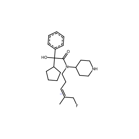 C/C(=C/CCN(C(=O)C(O)(c1ccccc1)C1CCCC1)C1CCNCC1)CF